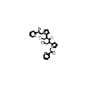 O=C(Cn1cccc1C(CCl)C(=O)C(CCl)c1cccn1CC(=O)c1ccccn1)c1ccccn1